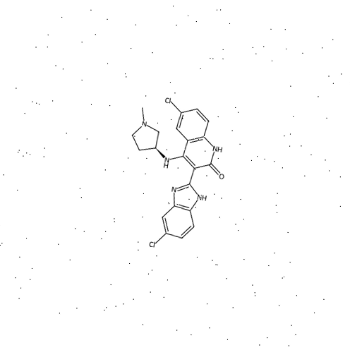 CN1CC[C@H](Nc2c(-c3nc4cc(Cl)ccc4[nH]3)c(=O)[nH]c3ccc(Cl)cc23)C1